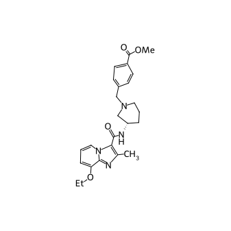 CCOc1cccn2c(C(=O)N[C@H]3CCCN(Cc4ccc(C(=O)OC)cc4)C3)c(C)nc12